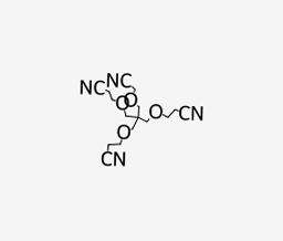 N#CCCOCC(COCC#N)(COCCC#N)COCCC#N